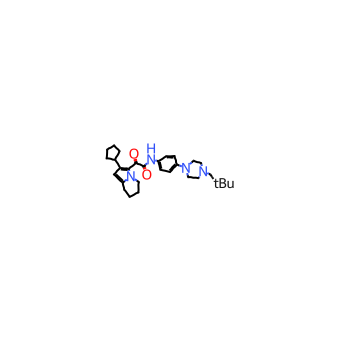 CC(C)(C)CN1CCN(c2ccc(NC(=O)C(=O)c3c(C4CCCC4)cc4n3CCCC4)cc2)CC1